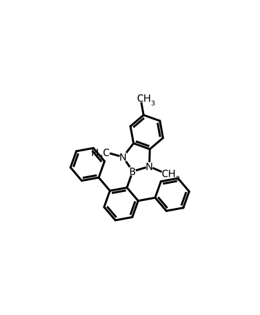 Cc1ccc2c(c1)N(C)B(c1c(-c3ccccc3)cccc1-c1ccccc1)N2C